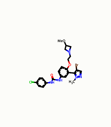 COC1CN(CCOc2ccc(NC(=O)Nc3ccc(Cl)cc3)cc2-c2c(Br)cnn2C)C1